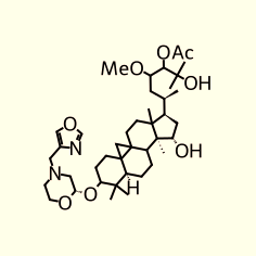 COC(C[C@@H](C)[C@H]1C[C@H](O)[C@@]2(C)C3CC[C@H]4C(C)(C)C(O[C@H]5CN(Cc6cocn6)CCO5)CCC45CC35CCC12C)C(OC(C)=O)C(C)(C)O